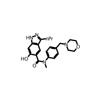 CCCc1n[nH]c2cc(O)c(C(=O)N(C)c3ccc(CN4CCOCC4)cc3)cc12